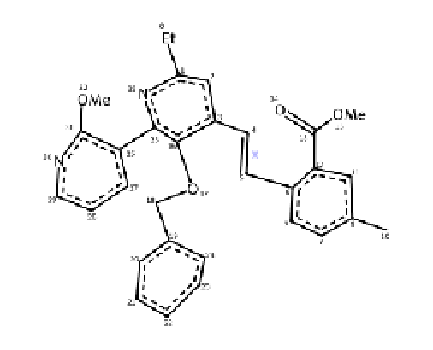 CCc1cc(/C=C/c2ccc(C)cc2C(=O)OC)c(OCc2ccccc2)c(-c2cccnc2OC)n1